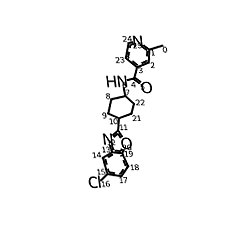 Cc1cc(C(=O)NC2CCC(c3nc4cc(Cl)ccc4o3)CC2)ccn1